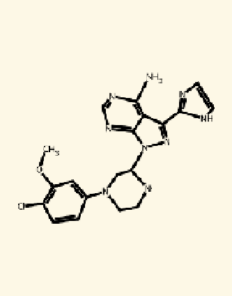 COc1cc(N2CC[N]C(n3nc(-c4ncc[nH]4)c4c(N)ncnc43)C2)ccc1Cl